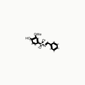 COc1cc(S(=O)(=O)N=Cc2ccccc2)ccc1O